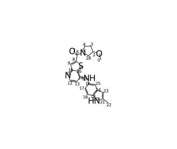 COC1CCN(C(=O)c2cc3nccc(Nc4ccc5[nH]c(C)cc5c4)c3s2)C1